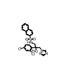 O=S(=O)(NCC(O)(Cn1cncn1)c1ccc(Cl)cc1Cl)c1ccc2ccccc2c1